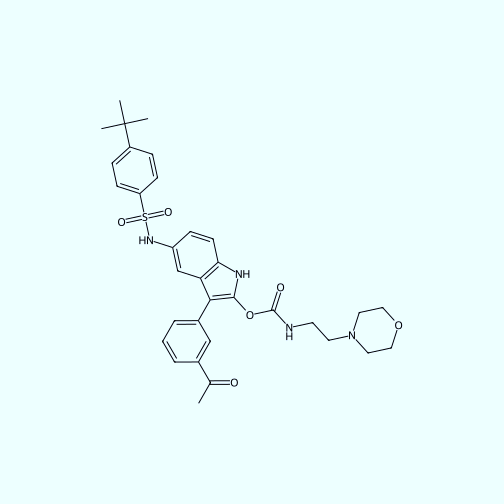 CC(=O)c1cccc(-c2c(OC(=O)NCCN3CCOCC3)[nH]c3ccc(NS(=O)(=O)c4ccc(C(C)(C)C)cc4)cc23)c1